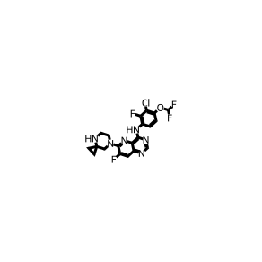 Fc1cc2ncnc(Nc3ccc(OC(F)F)c(Cl)c3F)c2nc1N1CCNC2(CC2)C1